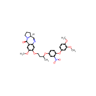 COc1ccc(Oc2ccc(OC(C)CCOc3cc4c(cc3OC)C(=O)N3CCC[C@H]3C=N4)cc2[N+](=O)[O-])cc1OC